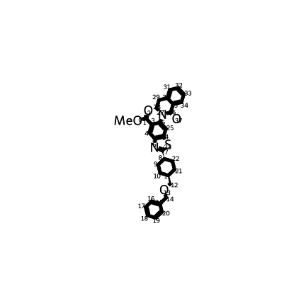 COC(=O)c1cc2nc([C@H]3CC[C@H](COCc4ccccc4)CC3)sc2cc1N1CCc2ccccc2C1=O